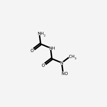 CN(N=O)C(=O)NC(N)=O